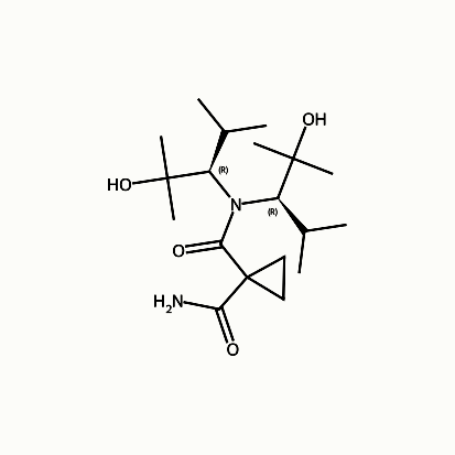 CC(C)[C@@H](N(C(=O)C1(C(N)=O)CC1)[C@H](C(C)C)C(C)(C)O)C(C)(C)O